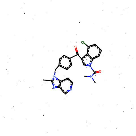 Cc1nc2cnccc2n1Cc1ccc(C(=O)c2cn(C(=O)N(C)C)c3cccc(Cl)c23)cc1